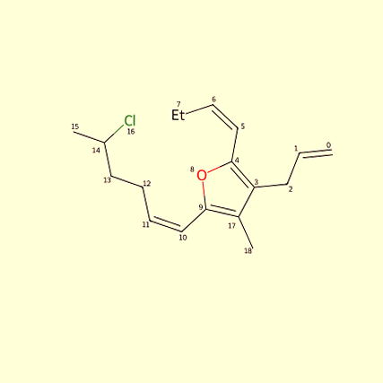 C=CCc1c(/C=C\CC)oc(/C=C\CCC(C)Cl)c1C